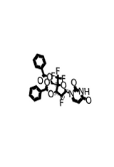 O=C(OC[C@@]1(C(F)(F)F)O[C@@H](n2ccc(=O)[nH]c2=O)[C@H](F)[C@@H]1OC(=O)c1ccccc1)c1ccccc1